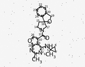 Cc1nc(NC2(C)CC2)c2c(C(=O)N3CCC4(C3)OCc3ccccc34)coc2n1